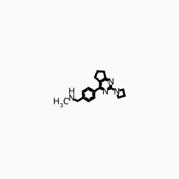 CNCc1ccc(-c2nc(N3CCC3)nc3c2CCC3)cc1